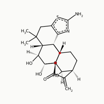 C=C1C(=O)[C@]23[C@H](O)[C@H]1CC[C@H]2[C@@]12CO[C@@]3(O)[C@@H](O)[C@@H]1C(C)(C)Cc1sc(N)nc12